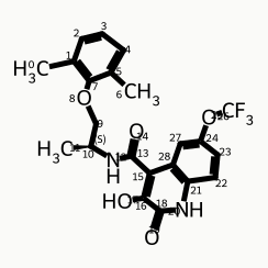 Cc1cccc(C)c1OC[C@H](C)NC(=O)c1c(O)c(=O)[nH]c2ccc(OC(F)(F)F)cc12